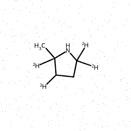 [2H]C1CC([2H])([2H])NC1([2H])C